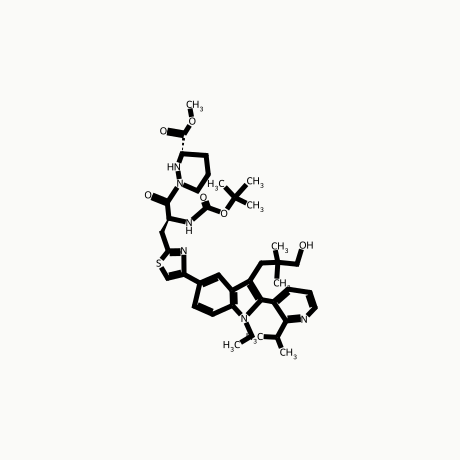 CCn1c(-c2cccnc2C(C)C)c(CC(C)(C)CO)c2cc(-c3csc(C[C@H](NC(=O)OC(C)(C)C)C(=O)N4CCC[C@@H](C(=O)OC)N4)n3)ccc21